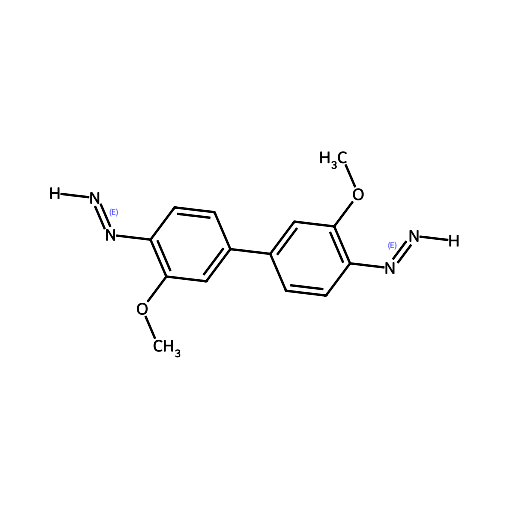 [H]/N=N/c1ccc(-c2ccc(/N=N/[H])c(OC)c2)cc1OC